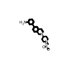 Nc1cccc(-c2ccc3c(c2)C=CN(C2CCN(C[SH](=O)=O)CC2)C3)c1